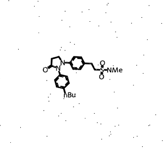 CCCCc1ccc(N2C(=O)CCN2c2ccc(CCS(=O)(=O)NC)cc2)cc1